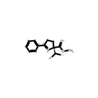 COC(=O)[C@@]1(C(F)F)CCC(c2ccccc2)=N1